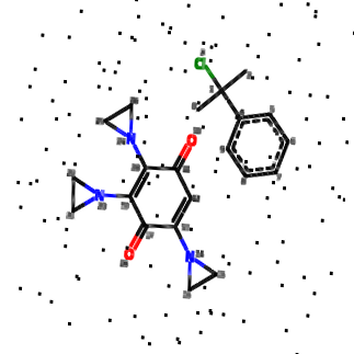 CC(C)(Cl)c1ccccc1.O=C1C=C(N2CC2)C(=O)C(N2CC2)=C1N1CC1